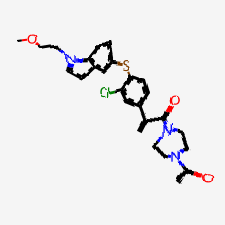 C=C(C(=O)N1CCN(C(C)=O)CC1)c1ccc(Sc2ccc3c(ccn3CCOC)c2)c(Cl)c1